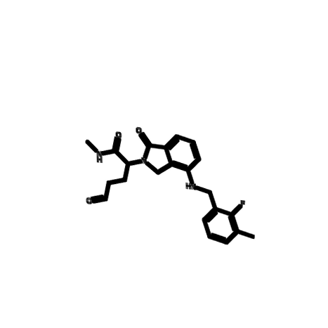 CNC(=O)C(CCC=O)N1Cc2c(NCc3cccc(C)c3F)cccc2C1=O